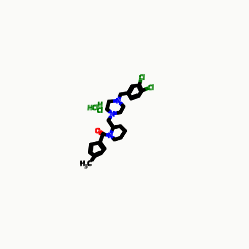 Cc1ccc(C(=O)N2CCCCC2CN2CCN(Cc3ccc(Cl)c(Cl)c3)CC2)cc1.Cl.Cl